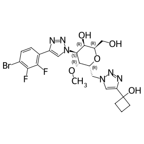 CO[C@@H]1[C@@H](n2cc(-c3ccc(Br)c(F)c3F)nn2)[C@@H](O)[C@@H](CO)O[C@@H]1Cn1cc(C2(O)CCC2)nn1